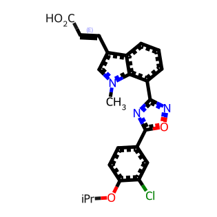 CC(C)Oc1ccc(-c2nc(-c3cccc4c(/C=C/C(=O)O)cn(C)c34)no2)cc1Cl